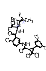 C=C(F)/C(=C\C(Br)=C(/C)F)NC(=O)c1cc(NC(=O)C2C(c3cc(Cl)cc(Cl)c3)C2(Cl)Cl)ccc1Cl